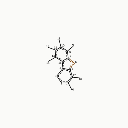 Cc1ccc2c(sc3c(C)c(C)c(C)c(C)c32)c1C